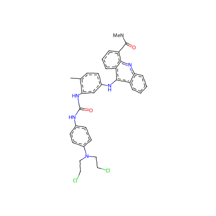 CNC(=O)c1cccc2c(Nc3ccc(C)c(NC(=O)Nc4ccc(N(CCCl)CCCl)cc4)c3)c3ccccc3nc12